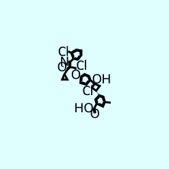 Cc1cc(C(=O)O)cc([C@H]2C[C@](O)(c3ccc(OCc4c(-c5c(Cl)cccc5Cl)noc4C4CC4)cc3Cl)C2)c1